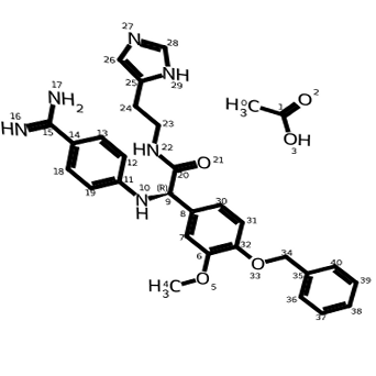 CC(=O)O.COc1cc([C@@H](Nc2ccc(C(=N)N)cc2)C(=O)NCCc2cnc[nH]2)ccc1OCc1ccccc1